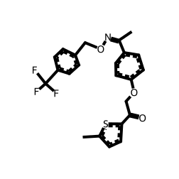 CC(=NOCc1ccc(C(F)(F)F)cc1)c1ccc(OCC(=O)c2ccc(C)s2)cc1